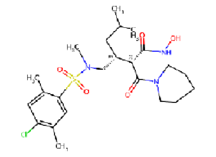 Cc1cc(S(=O)(=O)N(C)C[C@H](CC(C)C)[C@H](C(=O)NO)C(=O)N2CCCCC2)c(C)cc1Cl